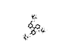 CCN(CC)S(=O)(=O)C1=CC(=C(c2cc(C=Nn3nnnc3C)ccc2O)c2cc(C=Nn3nnnc3C)ccc2O)CC=C1